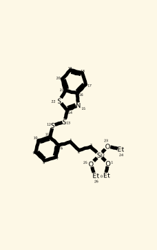 CCO[Si](CCCc1ccccc1SSc1nc2ccccc2s1)(OCC)OCC